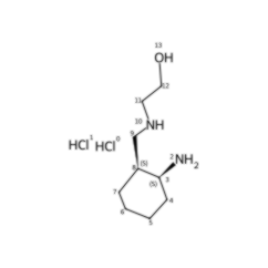 Cl.Cl.N[C@H]1CCCC[C@H]1CNCCO